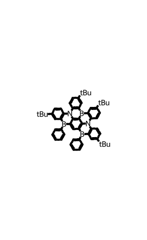 CC(C)(C)c1ccc2c(c1)B(c1ccccc1)c1cc3c4c5c1N2c1ccc(C(C)(C)C)cc1B5c1cc(C(C)(C)C)ccc1N4c1ccc(C(C)(C)C)cc1B3c1ccccc1